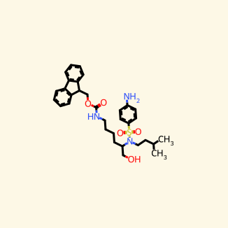 CC(C)CCN(C(CO)CCCCNC(=O)OCC1c2ccccc2-c2ccccc21)S(=O)(=O)c1ccc(N)cc1